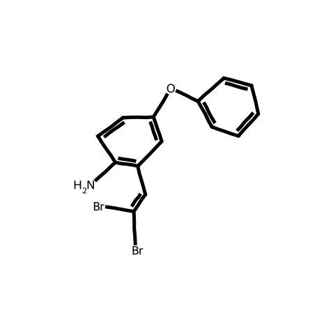 Nc1ccc(Oc2ccccc2)cc1C=C(Br)Br